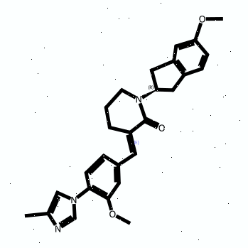 COc1ccc2c(c1)C[C@H](N1CCC/C(=C\c3ccc(-n4cnc(C)c4)c(OC)c3)C1=O)C2